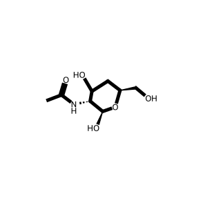 CC(=O)N[C@@H]1C(O)C[C@@H](CO)O[C@H]1O